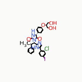 C[C@H](c1ccccc1)[C@@H](c1ncc(-c2ccc(I)cc2Cl)[nH]1)N1C(=O)N[C@H](c2ccc(OC(CO)CO)cc2)C1=O